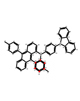 Cc1ccc(-c2c3ccccc3c(-c3ccc(C)cc3)c3c(N(c4ccccc4)c4ccc(-n5c6ccccc6c6ccccc65)cc4)cccc23)cc1